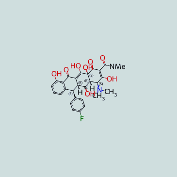 CNC(=O)C1=C(O)[C@@H](N(C)C)[C@@H]2[C@@H](O)[C@H]3C(=C(O)[C@]2(O)C1=O)C(=O)c1c(O)cccc1[C@@H]3c1ccc(F)cc1